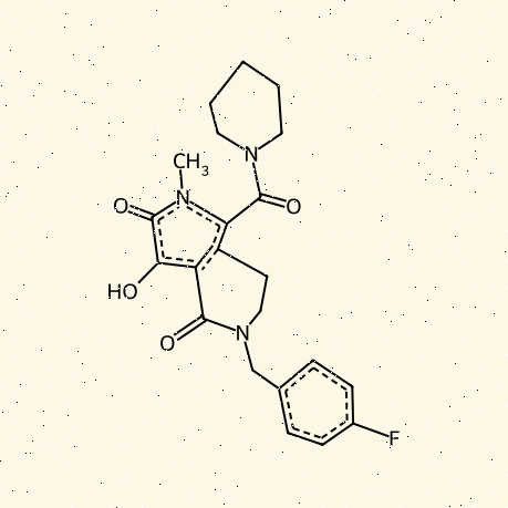 Cn1c(C(=O)N2CCCCC2)c2c(c(O)c1=O)C(=O)N(Cc1ccc(F)cc1)CC2